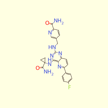 NC(=O)c1ccc(CNc2nc(NC3(C(N)=O)CC3)c3nc(-c4ccc(F)cc4)ccc3n2)cn1